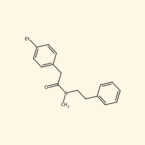 C[CH]c1ccc(CC(=O)N(C)CCc2ccccc2)cc1